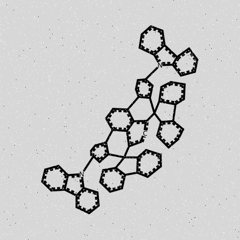 c1ccc2c(c1)-c1ccccc1C21c2cc(-n3c4ccccc4c4ccccc43)ccc2-c2ccc3c4c(ccc1c24)C1(c2ccccc2-c2ccccc21)c1cc(-n2c4ccccc4c4ccccc42)ccc1-3